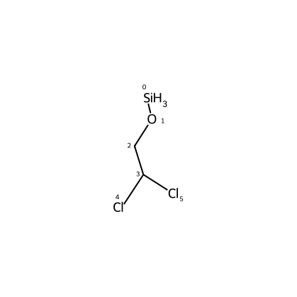 [SiH3]OCC(Cl)Cl